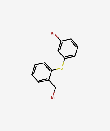 BrCc1ccccc1Sc1cccc(Br)c1